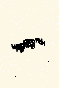 CC12CCC(C(=O)C1=Cc1ccc(CNCCC(O)CO)cc1)C2(C)C